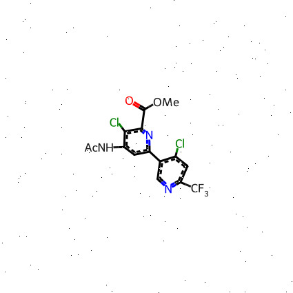 COC(=O)c1nc(-c2cnc(C(F)(F)F)cc2Cl)cc(NC(C)=O)c1Cl